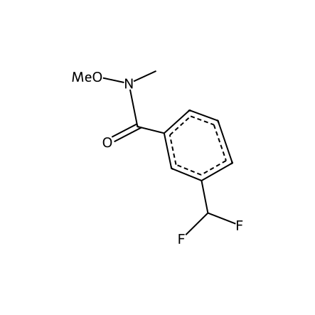 CON(C)C(=O)c1cccc(C(F)F)c1